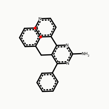 Nc1nc(-c2ccccc2)c(Cc2ccccc2)c(-c2ccncc2)n1